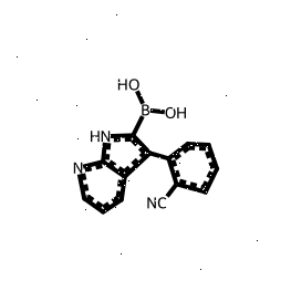 N#Cc1ccccc1-c1c(B(O)O)[nH]c2ncccc12